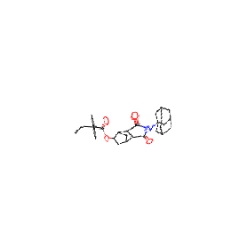 CCC(C)(C)C(=O)OC1CC2CC1C1C(=O)N(C34CC5CC(CC(C5)C3)C4)C(=O)C21